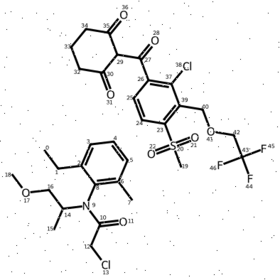 CCc1cccc(C)c1N(C(=O)CCl)C(C)COC.CS(=O)(=O)c1ccc(C(=O)C2C(=O)CCCC2=O)c(Cl)c1COCC(F)(F)F